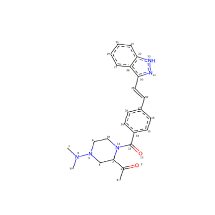 CC(=O)C1CN(N(C)C)CCN1C(=O)c1ccc(C=Cc2n[nH]c3ccccc23)cc1